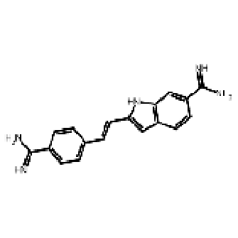 N=C(N)c1ccc(/C=C/c2cc3ccc(C(=N)N)cc3[nH]2)cc1